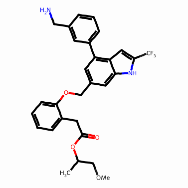 COCC(C)OC(=O)Cc1ccccc1OCc1cc(-c2cccc(CN)c2)c2cc(C(F)(F)F)[nH]c2c1